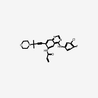 C=CC(=O)Nc1cc2c(Nc3ccc(F)c(Cl)c3)ncnc2cc1C#CC(C)(C)N1CCOCC1